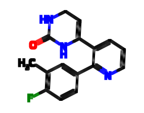 Cc1cc(-c2ncccc2C2=CCNC(=O)N2)ccc1F